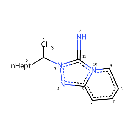 CCCCCCCC(C)n1nc2ccccn2c1=N